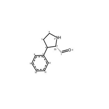 O=C[C@H]1NCCC1c1ccccc1